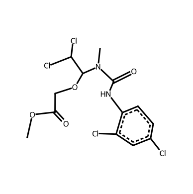 COC(=O)COC(C(Cl)Cl)N(C)C(=O)Nc1ccc(Cl)cc1Cl